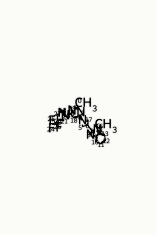 Cc1nc(N2CC(c3nc4ccccc4n3C)C2)cc(-n2cc(C(F)(F)F)cn2)n1